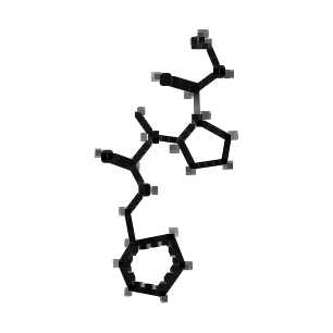 CN(C(=O)OCc1ccccc1)C1CCCN1C(=O)OC(C)(C)C